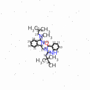 C#CC(C)(C)/C=C1\Nc2ccccc2C(=O)N1CC1N=C(N(C)CC(C)C)c2ccccc21